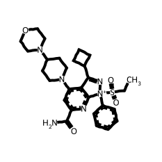 CCS(=O)(=O)[N+]1(c2ccccc2)N=C(C2CCC2)c2c(N3CCC(N4CCOCC4)CC3)cc(C(N)=O)nc21